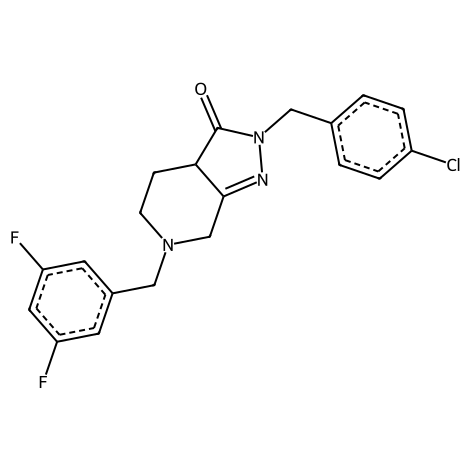 O=C1C2CCN(Cc3cc(F)cc(F)c3)CC2=NN1Cc1ccc(Cl)cc1